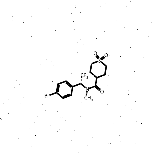 CN(C(=O)C1CCS(=O)(=O)CC1)[C@H](c1ccc(Br)cc1)C(F)(F)F